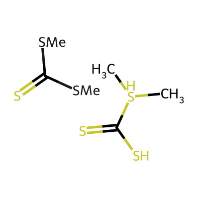 CSC(=S)SC.C[SH](C)C(=S)S